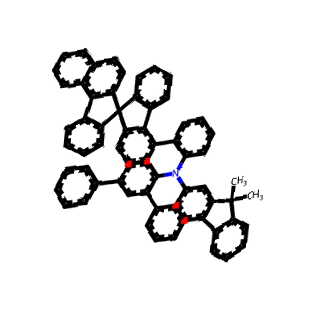 CC1(C)c2ccccc2-c2ccc(N(c3ccc(-c4ccccc4)cc3-c3ccccc3)c3ccccc3-c3cccc4c3-c3ccccc3C43c4ccccc4-c4c3ccc3ccccc43)cc21